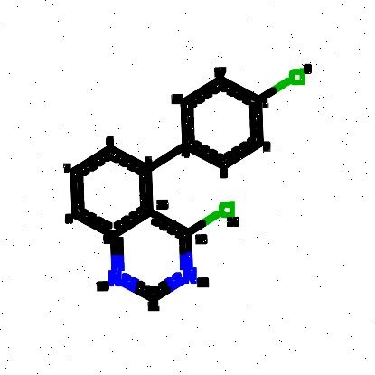 Clc1ccc(-c2cccc3ncnc(Cl)c23)cc1